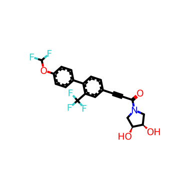 O=C(C#Cc1ccc(-c2ccc(OC(F)F)cc2)c(C(F)(F)F)c1)N1C[C@@H](O)[C@@H](O)C1